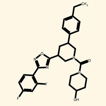 CCc1ccc(C2CC(c3nc(-c4ccc(F)cc4F)no3)CN(C(=O)N3CCC(O)CC3)C2)cc1